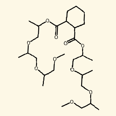 COCC(C)OCC(C)OCC(C)OC(=O)C1CCCCC1C(=O)OC(C)COC(C)COC(C)COC